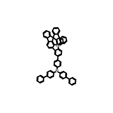 c1ccc(-c2ccc(N(c3ccc(-c4ccccc4)cc3)c3ccc(-c4ccc5c(c4)c4ccc6c(c4n5-c4ccccc4)C4(c5ccccc5-c5ccccc54)c4ccccc4-6)cc3)cc2)cc1